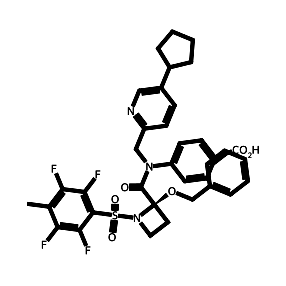 Cc1c(F)c(F)c(S(=O)(=O)N2CC[C@@]2(OCc2ccccc2)C(=O)N(Cc2ccc(C3CCCC3)cn2)c2ccc(C(=O)O)cc2)c(F)c1F